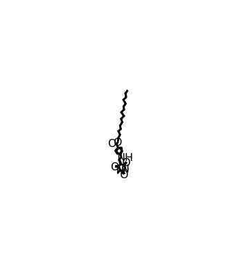 CCCCCCCCCCCCCCCCOC(=O)c1ccc(NC=C2C(=O)N(C)C(=O)N(C)C2=O)cc1